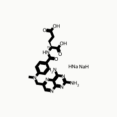 CN(Cc1cnc2nc(N)nc(N)c2n1)c1ccc(C(=O)N[C@@H](CCC(=O)O)C(=O)O)cc1.[NaH].[NaH]